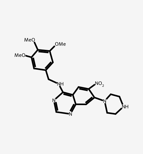 COc1cc(CNc2ncnc3cc(N4CCNCC4)c([N+](=O)[O-])cc23)cc(OC)c1OC